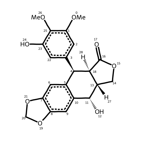 COc1cc([C@@H]2c3cc4c(cc3[C@@H](O)[C@H]3COC(=O)[C@H]23)OCO4)cc(O)c1OC